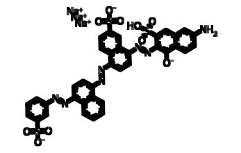 Nc1ccc2c([O-])c(N=Nc3ccc(N=Nc4ccc(N=Nc5cccc(S(=O)(=O)[O-])c5)c5ccccc45)c4ccc(S(=O)(=O)[O-])cc34)c(S(=O)(=O)O)cc2c1.[Na+].[Na+].[Na+]